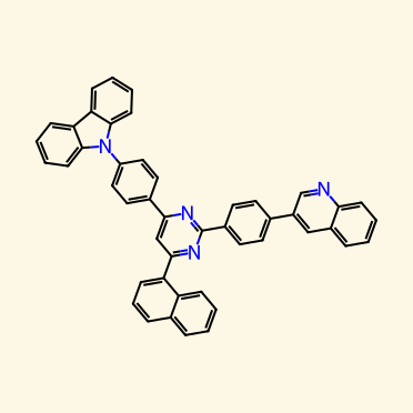 c1ccc2ncc(-c3ccc(-c4nc(-c5ccc(-n6c7ccccc7c7ccccc76)cc5)cc(-c5cccc6ccccc56)n4)cc3)cc2c1